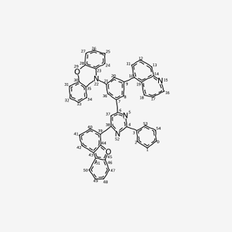 c1ccc(-c2nc(-c3cc(-c4cccc5ncccc45)cc(N4c5ccccc5Oc5ccccc54)c3)cc(-c3cccc4c3oc3ccccc34)n2)cc1